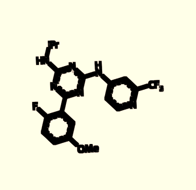 COc1ccc(F)c(-c2nc(Nc3ccnc(C(F)(F)F)c3)nc(NC(C)C)n2)c1